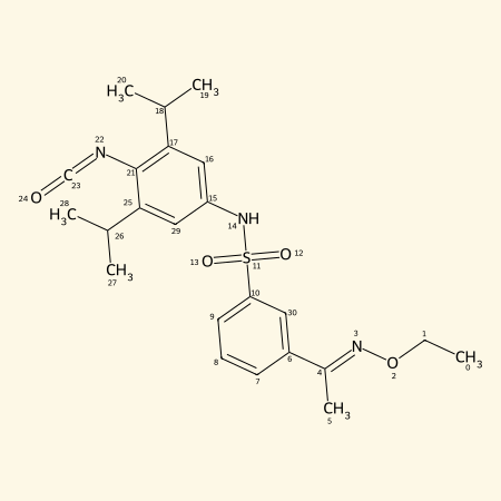 CCON=C(C)c1cccc(S(=O)(=O)Nc2cc(C(C)C)c(N=C=O)c(C(C)C)c2)c1